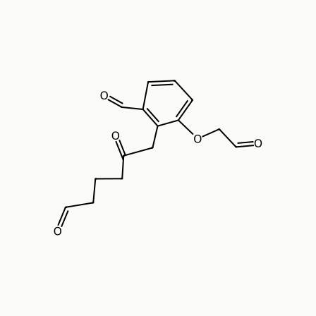 O=CCCCC(=O)Cc1c(C=O)cccc1OCC=O